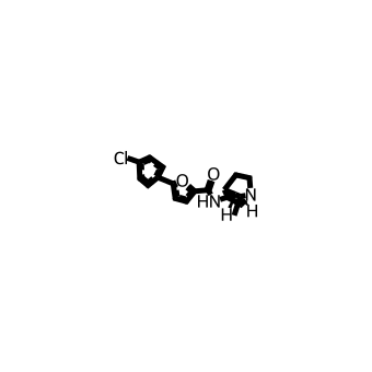 C[C@H]1[C@H](NC(=O)c2ccc(-c3ccc(Cl)cc3)o2)C2CCN1CC2